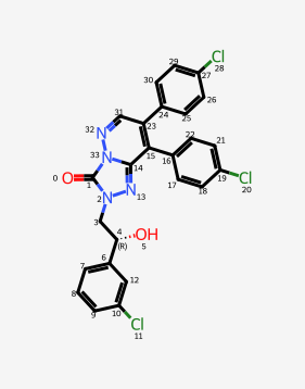 O=c1n(C[C@H](O)c2cccc(Cl)c2)nc2c(-c3ccc(Cl)cc3)c(-c3ccc(Cl)cc3)cnn12